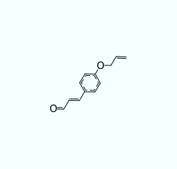 C=CCOc1ccc(C=CC=O)cc1